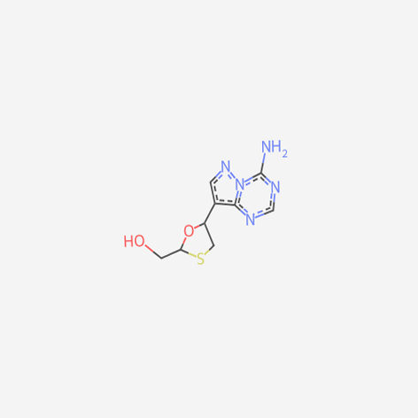 Nc1ncnc2c(C3CSC(CO)O3)cnn12